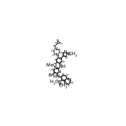 COc1cc(N2CCN(CC3CC3)CC2)c(-c2cnn(C)c2)cc1Nc1ncc(Br)c(Nc2ccc3nccnc3c2P(C)C)n1